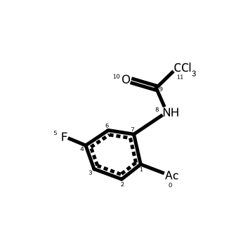 CC(=O)c1ccc(F)cc1NC(=O)C(Cl)(Cl)Cl